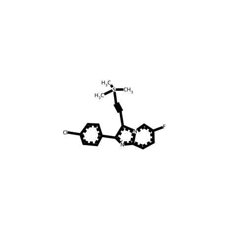 CS(C)(C)C#Cc1c(-c2ccc(Cl)cc2)nc2ccc(F)cn12